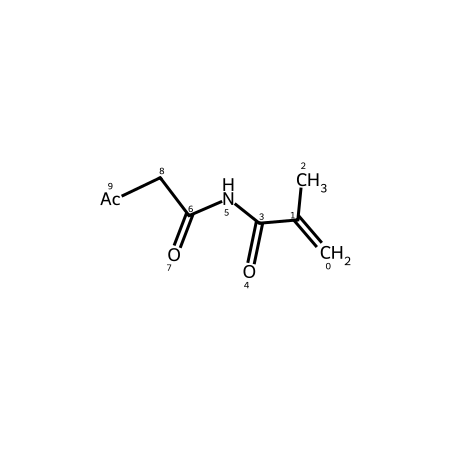 C=C(C)C(=O)NC(=O)CC(C)=O